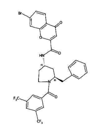 O=C(N[C@H]1CCN(C(=O)c2cc(C(F)(F)F)cc(C(F)(F)F)c2)[C@H](Cc2ccccc2)C1)c1cc(=O)c2ccc(Br)cc2o1